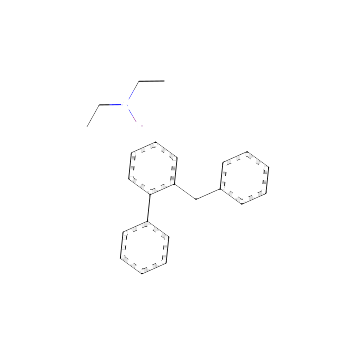 CCN(P)CC.c1ccc(Cc2ccccc2-c2ccccc2)cc1